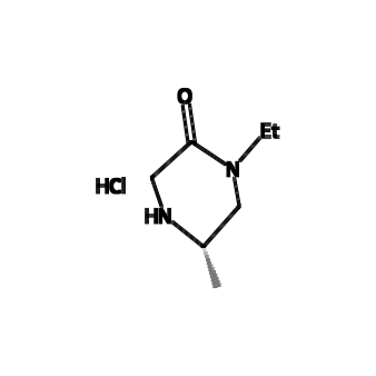 CCN1C[C@H](C)NCC1=O.Cl